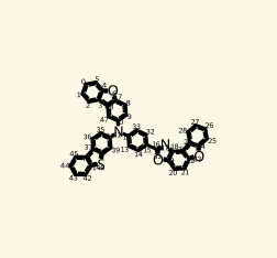 c1ccc2c(c1)oc1ccc(N(c3ccc(-c4nc5c(ccc6oc7ccccc7c65)o4)cc3)c3ccc4c(c3)sc3ccccc34)cc12